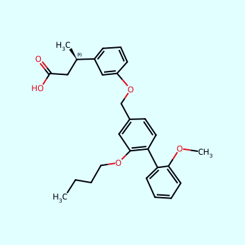 CCCCOc1cc(COc2cccc([C@H](C)CC(=O)O)c2)ccc1-c1ccccc1OC